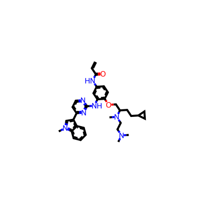 C=CC(=O)Nc1ccc(OCC(CCC2CC2)N(C)CCN(C)C)c(Nc2nccc(-c3cn(C)c4ccccc34)n2)c1